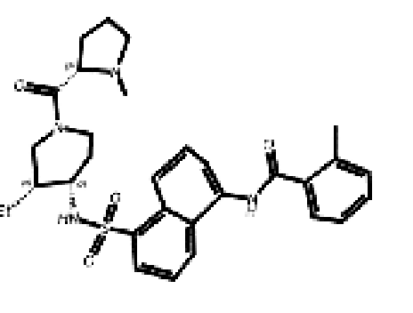 CC[C@@H]1CN(C(=O)[C@@H]2CCCN2C)CC[C@@H]1NS(=O)(=O)c1cccc2c(NC(=O)c3ccccc3C)cccc12